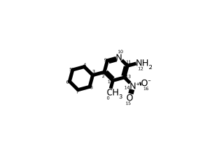 Cc1c(C2CCCCC2)cnc(N)c1[N+](=O)[O-]